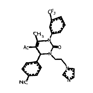 CC(=O)C1=C(C)N(c2cccc(C(F)(F)F)c2)C(=O)N(CCn2ccnc2)C1c1ccc(C#N)cc1